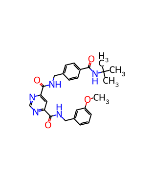 COc1cccc(CNC(=O)c2cc(C(=O)NCc3ccc(C(=O)NC(C)(C)C)cc3)ncn2)c1